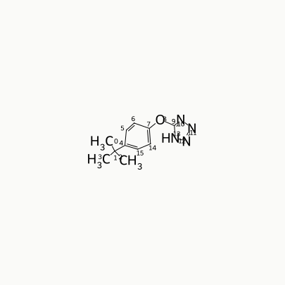 CC(C)(C)c1ccc(Oc2nnn[nH]2)cc1